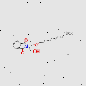 CCCCCCCCCCCCCCCCCCOC[C@H](CO)N1C(=O)c2ccccc2C1=O